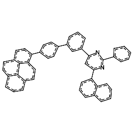 c1ccc(-c2nc(-c3cccc(-c4ccc(-c5ccc6ccc7cccc8ccc5c6c78)cc4)c3)cc(-c3cccc4ccccc34)n2)cc1